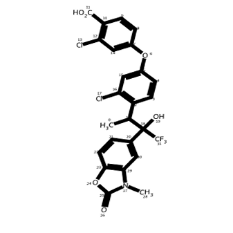 CC(c1ccc(Oc2ccc(C(=O)O)c(Cl)c2)cc1Cl)C(O)(c1ccc2oc(=O)n(C)c2c1)C(F)(F)F